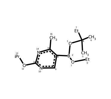 CCOB(OC(C)(C)CC)c1cnc(OC(C)C)nc1C